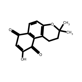 CC1(C)CCc2c(ccc3c2C(=O)C(O)=CC3=O)O1